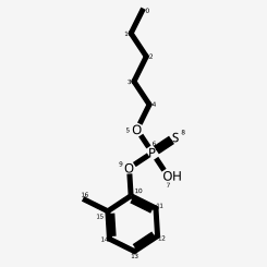 CCCCCOP(O)(=S)Oc1ccccc1C